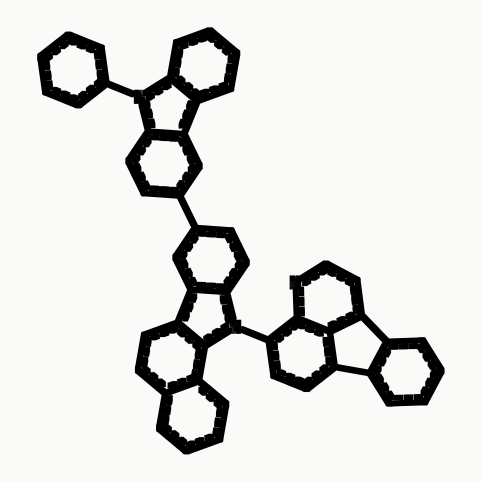 c1ccc(-n2c3ccccc3c3cc(-c4ccc5c(c4)c4ccc6ccccc6c4n5-c4ccc5c6c(ccnc46)-c4ccccc4-5)ccc32)cc1